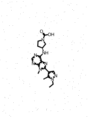 CCn1ncc(-c2nc3c(N[C@H]4CCN(C(=O)O)C4)ncnc3n2C)c1C